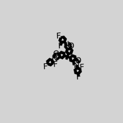 CC(c1ccc2c(c1)CN(c1ccc(F)cc1F)CO2)(c1ccc2c(c1)CN(c1ccc(F)cc1F)CO2)c1ccc2c(c1)CN(c1ccc(F)cc1F)CO2